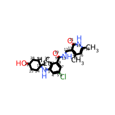 CCC1(Nc2cc(Cl)cc(C(=O)NCc3c(C)cc(C)[nH]c3=O)c2C)CCC(O)CC1